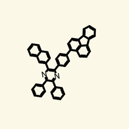 c1ccc(-c2nc(-c3ccc(-c4ccc5c6c(cccc46)-c4ccccc4-5)cc3)c(-c3ccc4ccccc4c3)nc2-c2ccccc2)cc1